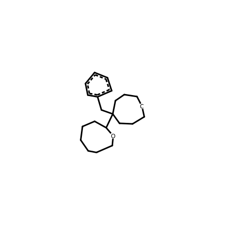 c1ccc(CC2(C3CCCCCCO3)CCCCCCC2)cc1